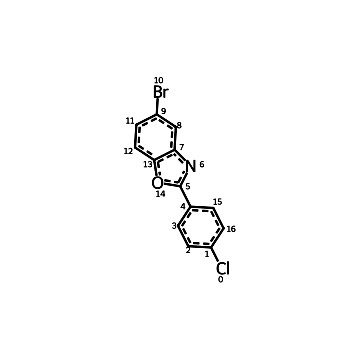 Clc1ccc(-c2nc3cc(Br)ccc3o2)cc1